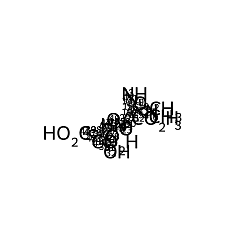 CN(C)c1ccc2c(c1)OC1CC(=N)CCC1=C2c1ccc(C(=O)NCc2c3oc4cc(O)ccc4c(-c4ccc(C(=O)O)cc4C(=O)O)c-3ccc2=O)cc1C(=O)O